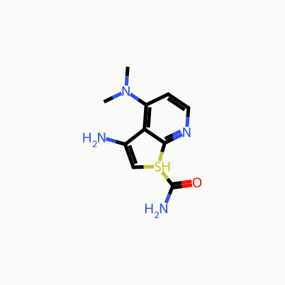 CN(C)c1ccnc2c1C(N)=C[SH]2C(N)=O